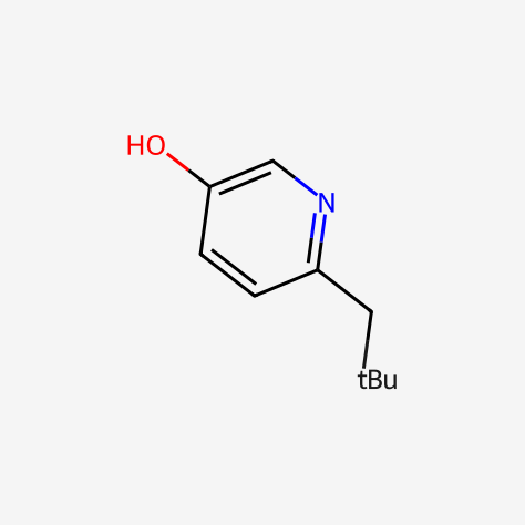 CC(C)(C)Cc1ccc(O)cn1